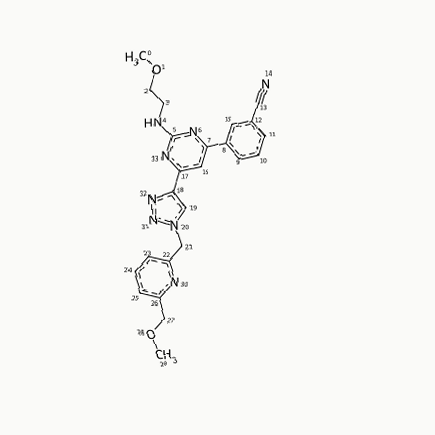 COCCNc1nc(-c2cccc(C#N)c2)cc(-c2cn(Cc3cccc(COC)n3)nn2)n1